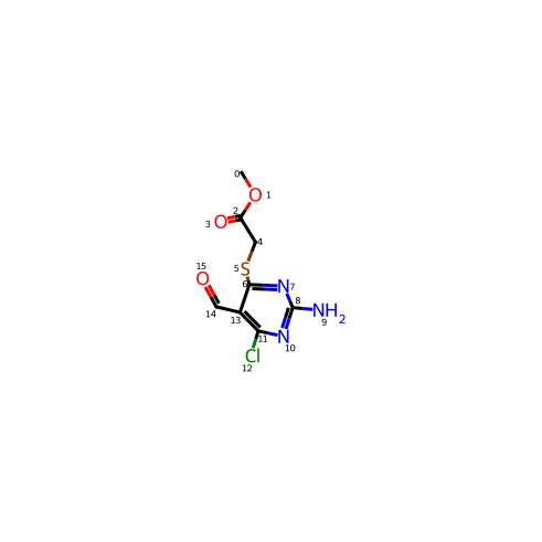 COC(=O)CSc1nc(N)nc(Cl)c1C=O